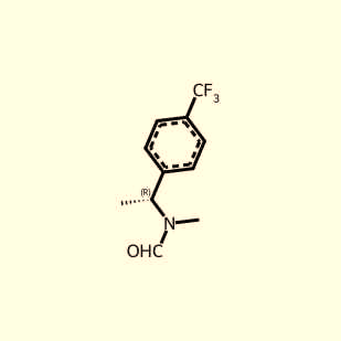 C[C@H](c1ccc(C(F)(F)F)cc1)N(C)C=O